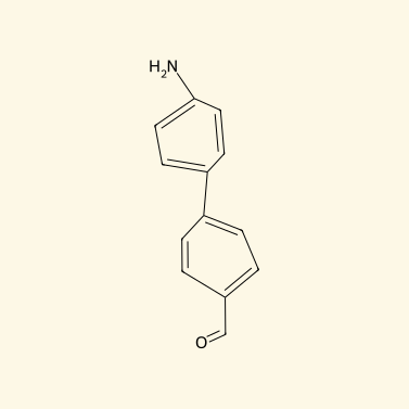 Nc1ccc(-c2ccc(C=O)cc2)cc1